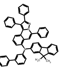 CC1(C)c2ccccc2-c2ccc(N(c3cccc(-c4ccccc4)c3)c3cccc4c3cc(-c3ccccc3)n3nc(-c5ccccc5)c(-c5ccccc5)c43)cc21